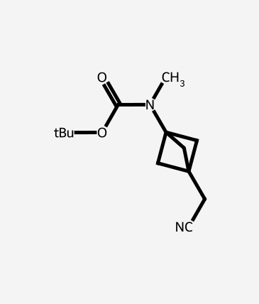 CN(C(=O)OC(C)(C)C)C12CC(CC#N)(C1)C2